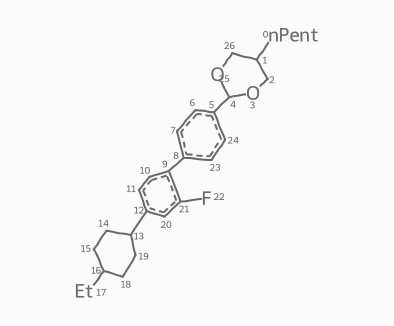 CCCCCC1COC(c2ccc(-c3ccc(C4CCC(CC)CC4)cc3F)cc2)OC1